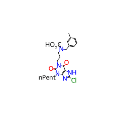 CCCCCn1c(=O)n(CCCN(Cc2cccc(C)c2)C(=O)O)c(=O)c2[nH]c(Cl)nc21